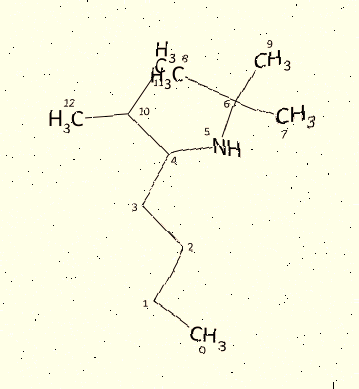 CCCCC(NC(C)(C)C)C(C)C